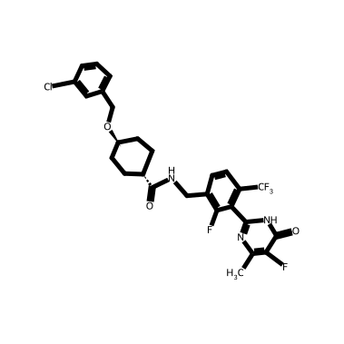 Cc1nc(-c2c(C(F)(F)F)ccc(CNC(=O)[C@H]3CC[C@H](OCc4cccc(Cl)c4)CC3)c2F)[nH]c(=O)c1F